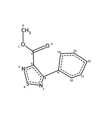 COC(=O)c1nsnc1-c1ccccc1